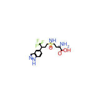 N=S(=O)(CCC(c1ccc2[nH]ncc2c1)C(F)(F)F)CC[C@H](N)C(=O)O